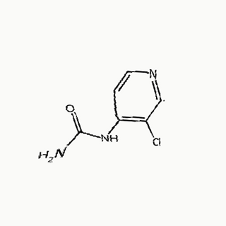 NC(=O)Nc1ccn[c]c1Cl